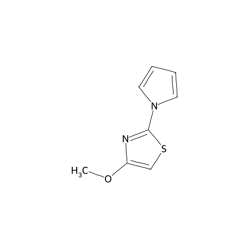 COc1csc(-n2cccc2)n1